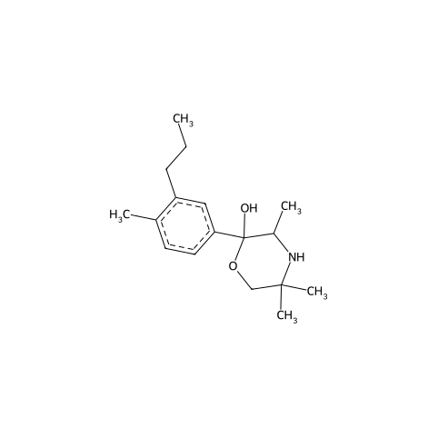 CCCc1cc(C2(O)OCC(C)(C)NC2C)ccc1C